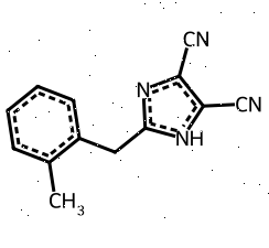 Cc1ccccc1Cc1nc(C#N)c(C#N)[nH]1